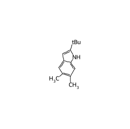 Cc1cc2cc(C(C)(C)C)[nH]c2cc1C